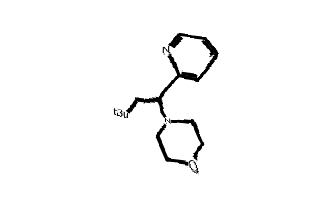 CC(C)(C)CC(c1ccccn1)N1CCOCC1